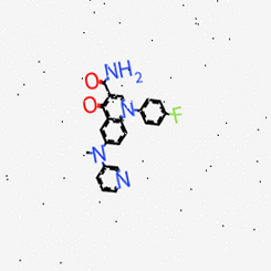 CN(c1cccnc1)c1ccc2c(c1)c(=O)c(C(N)=O)cn2-c1ccc(F)cc1